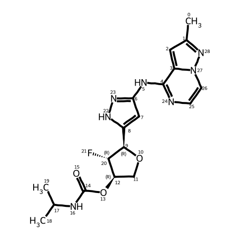 Cc1cc2c(Nc3cc([C@H]4OC[C@@H](OC(=O)NC(C)C)[C@@H]4F)[nH]n3)nccn2n1